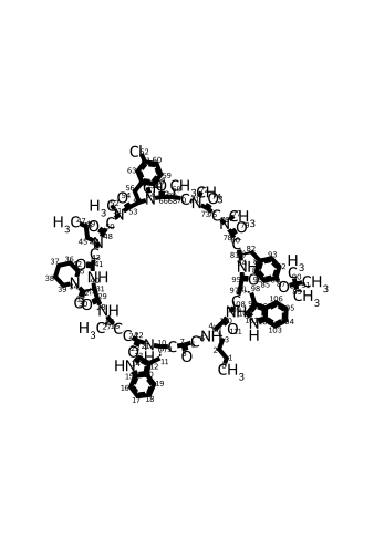 CCCC[C@@H]1NCC(=O)C[C@H](Cc2c[nH]c3ccccc23)NC(=O)CC[C@H](C)NC(=O)[C@@H](C(=O)N2CCCCC2)NC(=O)CN(CCC)C(=O)CN(C)C(=O)C(Cc2cccc(Cl)c2)N(C)C(=O)[C@H](C)CN(C)C(=O)CN(C)C(=O)C[C@@H](Cc2ccc(OC(C)(C)C)cc2)NC(=O)[C@H](Cc2c[nH]c3ccccc23)CNC1=O